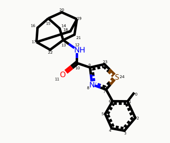 Cc1ccccc1-c1nc(C(=O)NC23CC4CC(CC(C4)C2)C3)cs1